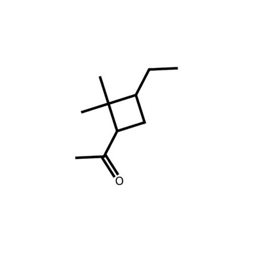 CCC1CC(C(C)=O)C1(C)C